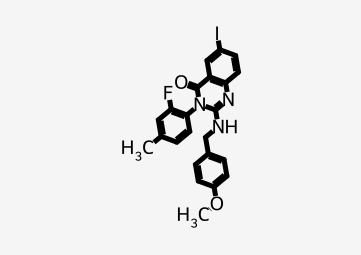 COc1ccc(CNc2nc3ccc(I)cc3c(=O)n2-c2ccc(C)cc2F)cc1